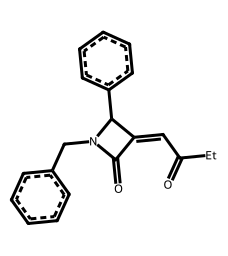 CCC(=O)C=C1C(=O)N(Cc2ccccc2)C1c1ccccc1